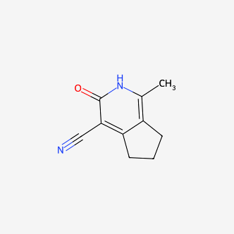 Cc1[nH]c(=O)c(C#N)c2c1CCC2